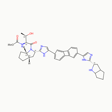 COC(=O)N[C@H](C(=O)N1[C@H](c2ncc(-c3ccc4c(c3)-c3ccc(-c5cnc([C@@H]6CC7CCCC7N6)[nH]5)cc3-4)[nH]2)C[C@@H]2CCC[C@@H]21)[C@@H](C)O